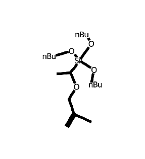 C=C(C)COC(C)[Si](OCCCC)(OCCCC)OCCCC